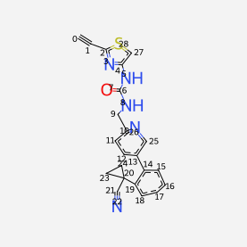 C#Cc1nc(NC(=O)NCc2ccc(-c3ccccc3C3(C#N)CC3)cn2)cs1